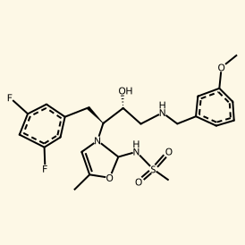 COc1cccc(CNC[C@@H](O)[C@H](Cc2cc(F)cc(F)c2)N2C=C(C)OC2NS(C)(=O)=O)c1